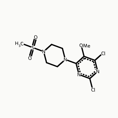 COc1c(Cl)nc(Cl)nc1N1CCN(S(C)(=O)=O)CC1